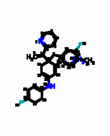 C=C(c1ccccn1)C1(Cc2ccc(C)c(F)c2)CC=C(NC2=CC=C(F)CC2)C=C1CCN